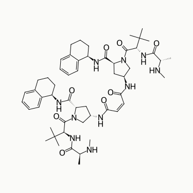 CN[C@@H](C)C(=O)N[C@H](C(=O)N1C[C@@H](NC(=O)/C=C\C(=O)N[C@H]2C[C@@H](C(=O)N[C@@H]3CCCc4ccccc43)N(C(=O)[C@@H](NC(=O)[C@H](C)NC)C(C)(C)C)C2)C[C@H]1C(=O)N[C@@H]1CCCc2ccccc21)C(C)(C)C